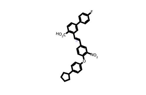 O=C(O)c1ccc(-c2ccc(F)cc2)cc1/C=C/c1ccc(Oc2ccc(C3CCCC3)cc2)c([N+](=O)[O-])c1